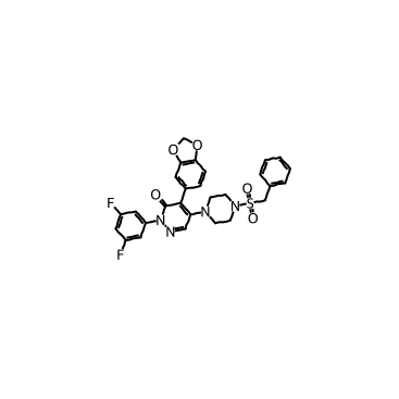 O=c1c(-c2ccc3c(c2)OCO3)c(N2CCN(S(=O)(=O)Cc3ccccc3)CC2)cnn1-c1cc(F)cc(F)c1